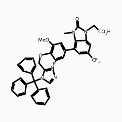 COc1cc(-c2cc(C(F)(F)F)cc3c2n(C)c(=O)n3CC(=O)O)cc(F)c1OCc1nncn1C(c1ccccc1)(c1ccccc1)c1ccccc1